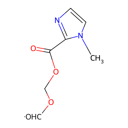 Cn1ccnc1C(=O)OCO[C]=O